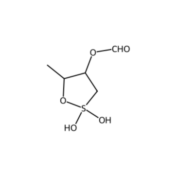 CC1OS(O)(O)CC1OC=O